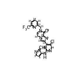 Cn1nccc1Nc1ncc(Cl)c(-c2cn3c(n2)C(=O)N(Cc2cccc(C(F)(F)F)n2)CC3)n1